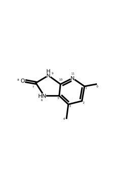 Cc1cc(C)c2[nH]c(=O)[nH]c2n1